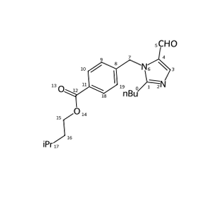 CCCCc1ncc(C=O)n1Cc1ccc(C(=O)OCCC(C)C)cc1